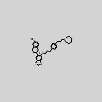 Oc1ccc2c(c1)CCC(c1cc3c(cc1NCCCc1ccc(CCCN4CCCCCC4)cc1)OCO3)C2